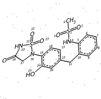 CS(=O)(=O)Nc1ccccc1Cc1ccc(N2CC(=O)NS2(=O)=O)c(O)c1